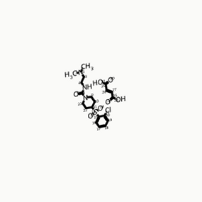 CN(C)CCNC(=O)N1CCC(S(=O)(=O)c2ccccc2Cl)CC1.O=C(O)C=CC(=O)O